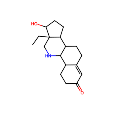 CCC12CNC3C4CCC(=O)C=C4CCC3C1CCC2O